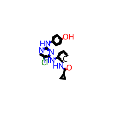 O=C(Nc1ccccc1Nc1nc(Nc2ccc(O)cc2)ncc1Cl)C1CC1